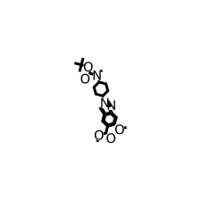 COC(=O)c1cc2cn([C@H]3CC[C@H](N(C)C(=O)OC(C)(C)C)CC3)nc2cc1OC